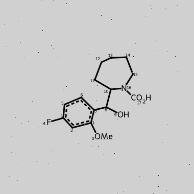 COc1cc(F)ccc1C(O)C1CCCCCN1C(=O)O